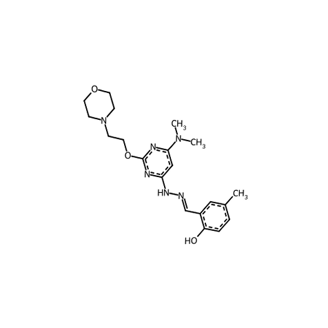 Cc1ccc(O)c(C=NNc2cc(N(C)C)nc(OCCN3CCOCC3)n2)c1